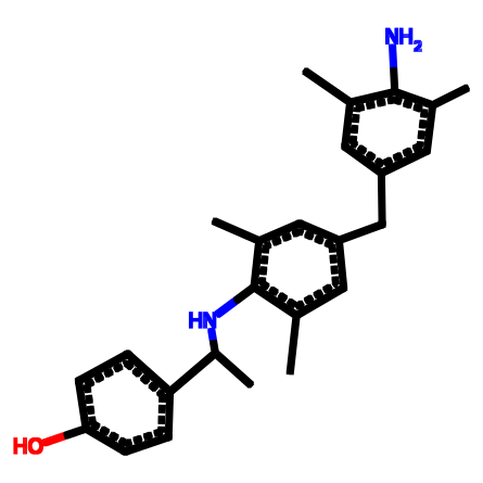 Cc1cc(Cc2cc(C)c(NC(C)c3ccc(O)cc3)c(C)c2)cc(C)c1N